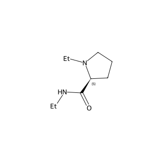 CCNC(=O)[C@@H]1CCCN1CC